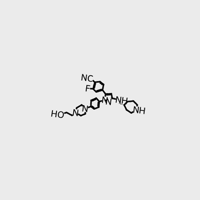 N#Cc1ccc(-c2cc(NC[C@@H]3CCCNCC3)nn2-c2ccc(N3CCN(CCO)CC3)cc2)cc1F